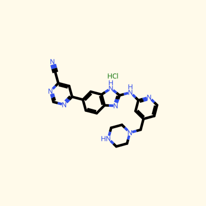 Cl.N#Cc1cc(-c2ccc3nc(Nc4cc(CN5CCNCC5)ccn4)[nH]c3c2)ncn1